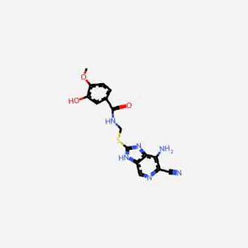 COc1ccc(C(=O)NCSc2nc3c(N)c(C#N)ncc3[nH]2)cc1O